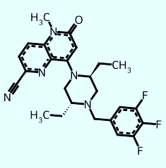 CC[C@@H]1CN(c2cc(=O)n(C)c3ccc(C#N)nc23)[C@@H](CC)CN1Cc1cc(F)c(F)c(F)c1